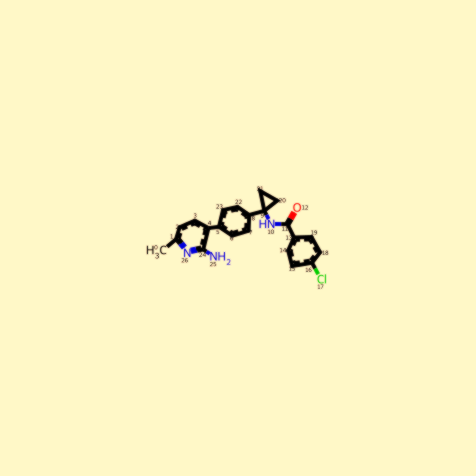 Cc1ccc(-c2ccc(C3(NC(=O)c4ccc(Cl)cc4)CC3)cc2)c(N)n1